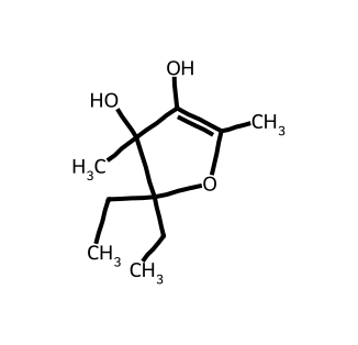 CCC1(CC)OC(C)=C(O)C1(C)O